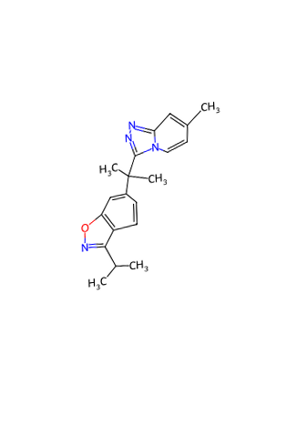 Cc1ccn2c(C(C)(C)c3ccc4c(C(C)C)noc4c3)nnc2c1